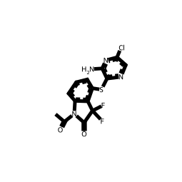 CC(=O)N1C(=O)C(F)(F)c2c(Sc3ncc(Cl)nc3N)cccc21